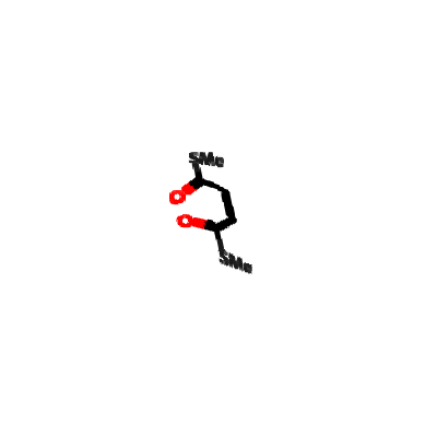 CSC(=O)/C=C\C(=O)SC